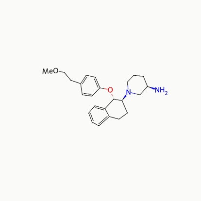 COCCc1ccc(O[C@H]2c3ccccc3CC[C@@H]2N2CCC[C@@H](N)C2)cc1